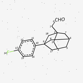 O=CCC12CC3CC(C1)CC(c1ccc(F)cc1)(C3)C2